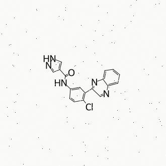 O=C(Nc1ccc(Cl)c(-c2cnc3ccccc3n2)c1)c1cn[nH]c1